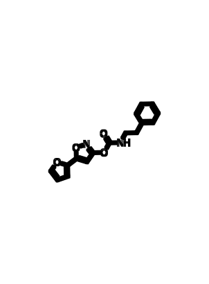 O=C(NCCc1ccccc1)Oc1cc(-c2ccco2)on1